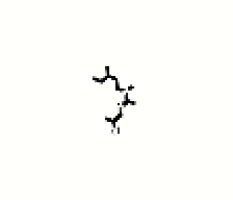 CCC(C)CCN(C)/C(C)=N/C=C(\C)Cl